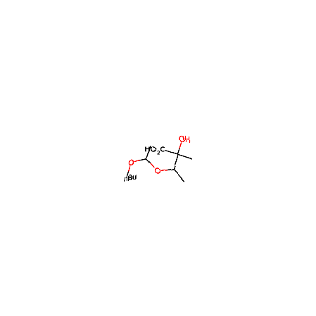 CCCCOC(C)OC(C)C(C)(O)C(=O)O